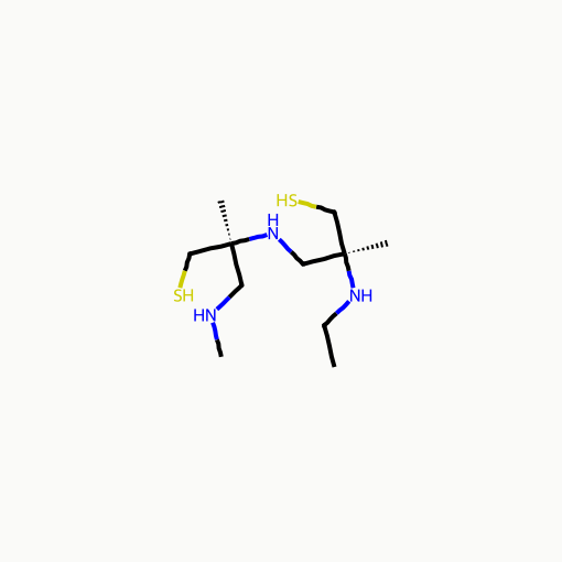 CCN[C@](C)(CS)CN[C@](C)(CS)CNC